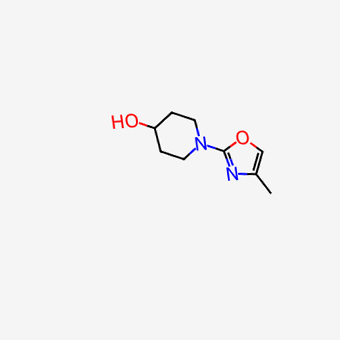 Cc1coc(N2CCC(O)CC2)n1